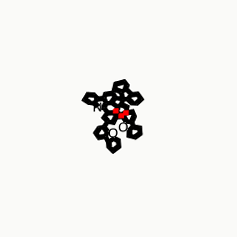 c1ccc2c(c1)-c1ccccc1C21c2ccccc2-c2c1ccc1c2c(-c2cc(-c3cccc4c3oc3ccccc34)cc(-c3cccc4c3oc3ccccc34)c2)nc2ccccc21